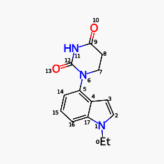 CCn1ccc2c(N3CCC(=O)NC3=O)cccc21